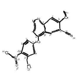 COc1cc2nccc(Oc3ccc([N+](=O)[O-])c(Cl)c3)c2cc1C#N